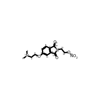 CN(C)CCOc1ccc2c(c1)C(=O)N(CCO[N+](=O)[O-])C2=O